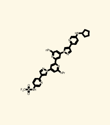 CCCc1cc(-n2cc(-c3ccc(NC4CCCC4)cn3)cn2)cc(-c2cc(-n3cc(-c4ccc(NS(=O)(=O)C(F)(F)F)cn4)cn3)cc(CCC)n2)n1